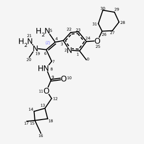 Cc1nc(/C(N)=C(\CNC(=O)OCC2CC(C)(C)C2)N(C)N)ccc1OC1CCCCC1